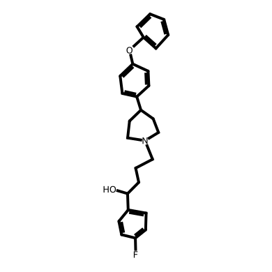 OC(CCCN1CCC(c2ccc(Oc3ccccc3)cc2)CC1)c1ccc(F)cc1